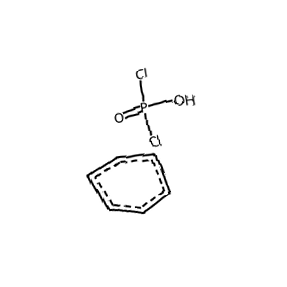 O=P(O)(Cl)Cl.c1ccccc1